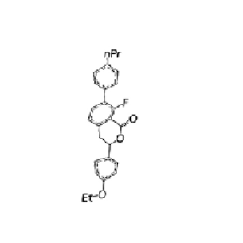 CCCc1ccc(-c2ccc3c(c2F)C(=O)OC(c2ccc(OCC)cc2)C3)cc1